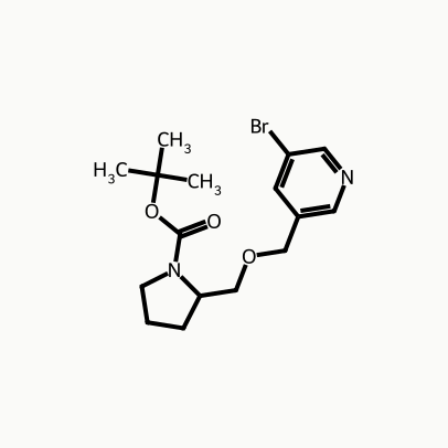 CC(C)(C)OC(=O)N1CCCC1COCc1cncc(Br)c1